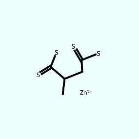 CC(CC(=S)[S-])C(=S)[S-].[Zn+2]